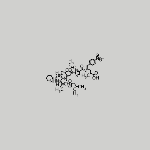 CC[C@H](C)[C@H](NC(=O)[C@H]1CCCCN1)C(=O)N(COC(=O)CC(C)C)[C@H](C[C@@H](OC(C)=O)c1nc(C(=O)N[C@@H](Cc2ccc([N+](=O)[O-])cc2)CC(C)C(=O)O)cs1)C(C)C